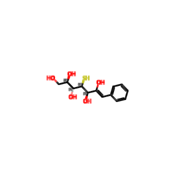 OC[C@@H](O)[C@@H](O)[C@@H](S)[C@H](O)C(O)=Cc1ccccc1